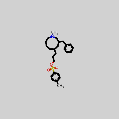 Cc1ccc(S(=O)(=O)OCCCC2CCCCN(C)CC(Cc3ccccc3)C2)cc1